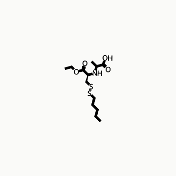 CCCCCSSC[C@H](NC(C)C(=O)O)C(=O)OCC